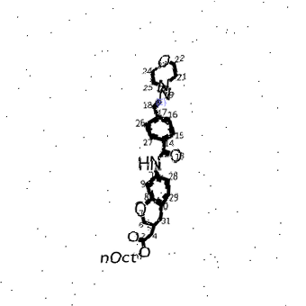 CCCCCCCCOC(=O)CC1COc2cc(NC(=O)c3ccc(/C=N/N4CCOCC4)cc3)ccc2C1